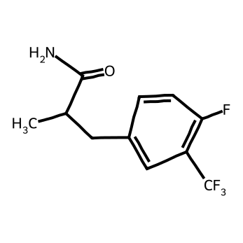 CC(Cc1ccc(F)c(C(F)(F)F)c1)C(N)=O